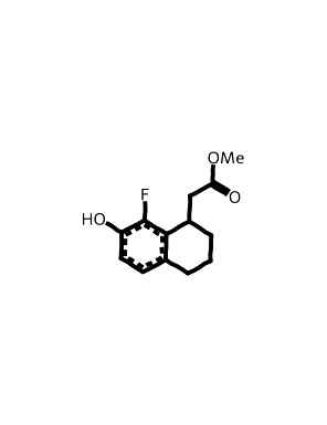 COC(=O)CC1CCCc2ccc(O)c(F)c21